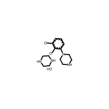 C1CNCCN1.Cl.Clc1cccc(N2CCNCC2)c1Cl